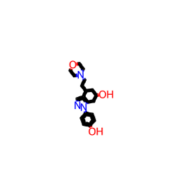 Oc1ccc(-n2ncc3c2CC(O)CC3CCN2CCOCC2)cc1